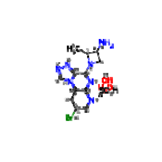 CC1C(N)CN1c1nc2ncc(Br)cc2n2cnnc12.O.O=S(=O)(O)O